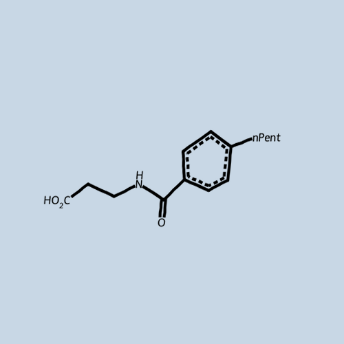 CCCCCc1ccc(C(=O)NCCC(=O)O)cc1